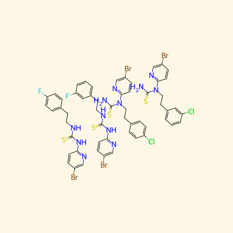 Fc1ccc(CCNC(=S)Nc2ccc(Br)cn2)cc1.Fc1cccc(CCNC(=S)Nc2ccc(Br)cn2)c1.NC(=S)N(CCc1ccc(Cl)cc1)c1ccc(Br)cn1.NC(=S)N(CCc1cccc(Cl)c1)c1ccc(Br)cn1